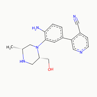 C[C@@H]1CN(c2cc(-c3cnccc3C#N)ccc2N)[C@H](CO)CN1